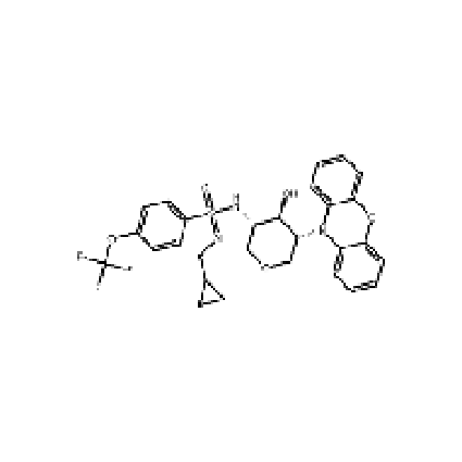 O=S(=NCC1CC1)(N[C@H]1COC[C@@H](N2c3ccccc3Oc3ccccc32)[C@@H]1O)c1ccc(OC(F)(F)F)cc1